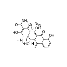 C=C1c2cccc(O)c2C(=O)C2=C(O)[C@]3(O)C(=O)C(C(N)=O)=C(O)[C@@H](N(C)C)[C@H]3[C@@H](O)[C@H]12.N#N